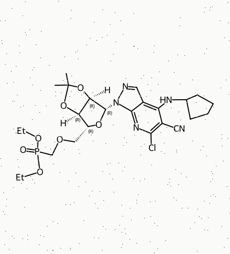 CCOP(=O)(COC[C@H]1O[C@@H](n2ncc3c(NC4CCCC4)c(C#N)c(Cl)nc32)[C@@H]2OC(C)(C)O[C@@H]21)OCC